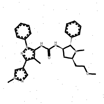 COCC[C@H]1C[C@@H](NC(=O)Nc2c(C)c(-c3cnn(C)c3)nn2-c2ccccc2)[C@H](c2ccccc2)N1C